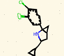 Clc1ccc(C23CC2CC(C2CC2)N3)cc1Cl